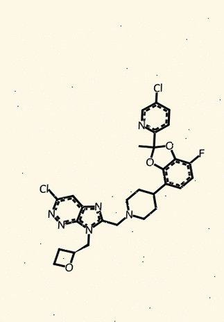 CC1(c2ccc(Cl)cn2)Oc2c(F)ccc(C3CCN(Cc4nc5cc(Cl)nnc5n4C[C@@H]4CCO4)CC3)c2O1